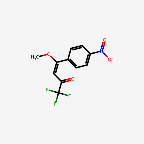 CO/C(=C/C(=O)C(F)(F)F)c1ccc([N+](=O)[O-])cc1